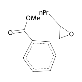 CCCC1CO1.COC(=O)c1ccccc1